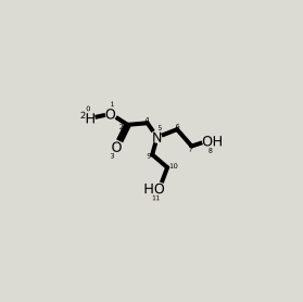 [2H]OC(=O)CN(CCO)CCO